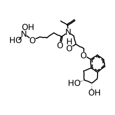 C=C(C)N(CC(O)COc1cccc2c1C[C@@H](O)[C@@H](O)C2)C(=O)CCCON(O)O